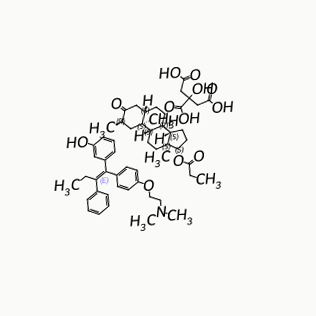 CC/C(=C(/c1ccc(OCCN(C)C)cc1)c1cccc(O)c1)c1ccccc1.CCC(=O)O[C@H]1CC[C@H]2[C@@H]3CC[C@H]4CC(=O)[C@H](C)C[C@]4(C)[C@H]3CC[C@]12C.O=C(O)CC(O)(CC(=O)O)C(=O)O